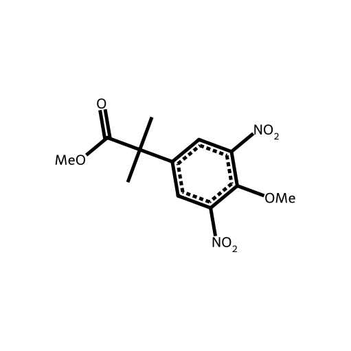 COC(=O)C(C)(C)c1cc([N+](=O)[O-])c(OC)c([N+](=O)[O-])c1